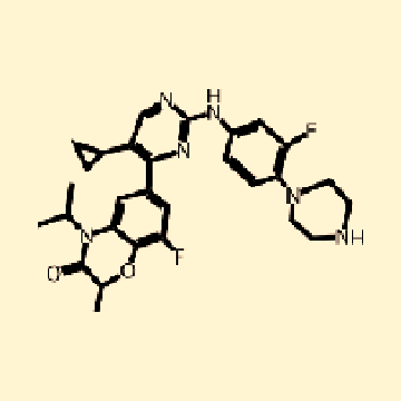 CC1Oc2c(F)cc(-c3nc(Nc4ccc(N5CCNCC5)c(F)c4)ncc3C3CC3)cc2N(C(C)C)C1=O